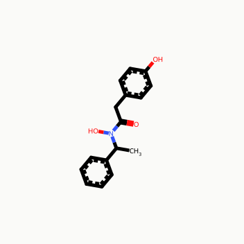 CC(c1ccccc1)N(O)C(=O)Cc1ccc(O)cc1